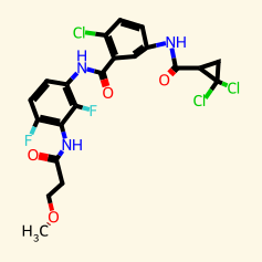 COCCC(=O)Nc1c(F)ccc(NC(=O)c2cc(NC(=O)C3CC3(Cl)Cl)ccc2Cl)c1F